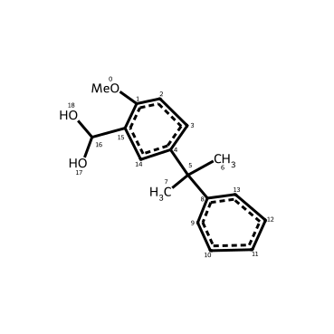 COc1ccc(C(C)(C)c2ccccc2)cc1C(O)O